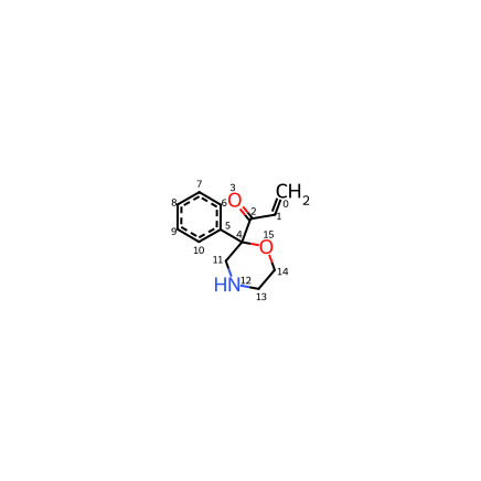 C=CC(=O)C1(c2ccccc2)CNCCO1